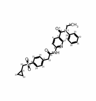 CCN(C(=O)c1ccc(NC(=O)Cc2ccc(S(=O)(=O)CC3CC3)cc2)nc1)c1ccccc1